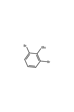 CC(C)(C)c1c(Br)cccc1Br